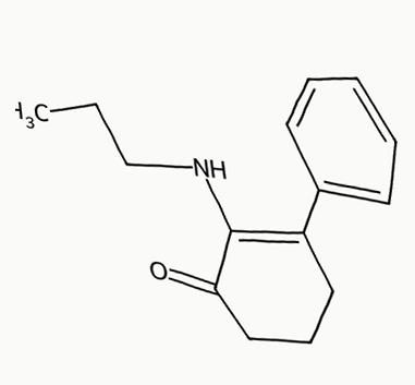 CCCNC1=C(c2ccccc2)CCCC1=O